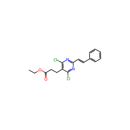 CCOC(=O)CCc1c(Cl)nc(/C=C/c2ccccc2)nc1Cl